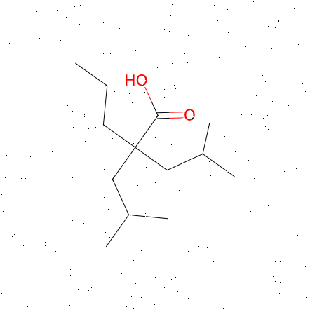 CCCC(CC(C)C)(CC(C)C)C(=O)O